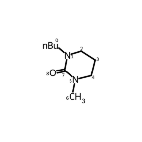 CCCCN1CCCN(C)C1=O